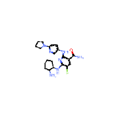 NC(=O)c1cc(F)c(NC2CCCC[C@@H]2N)nc1Nc1ccc(N2CCCC2)nc1